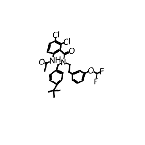 CC(=O)Nc1ccc(Cl)c(Cl)c1C(=O)N(CCc1cccc(OC(F)F)c1)Cc1ccc(C(C)(C)C)cc1